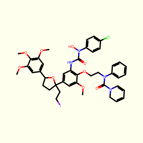 COc1cc(C2(CCI)CCC(c3cc(OC)c(OC)c(OC)c3)O2)cc(NC(=O)N(O)c2ccc(Cl)cc2)c1OCCN(C(=O)N1C=CC=CC1)c1ccccc1